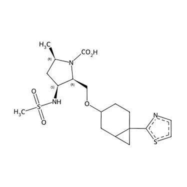 C[C@@H]1C[C@H](NS(C)(=O)=O)[C@H](COC2CCC3(c4nccs4)CC3C2)N1C(=O)O